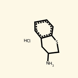 Cl.NC1CSc2ccccc2C1